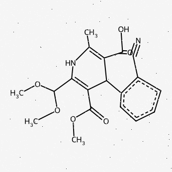 COC(=O)C1=C(C(OC)OC)NC(C)=C(C(=O)O)C1c1ccccc1C#N